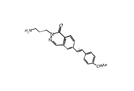 COc1ccc(/C=C/c2ccc3c(=O)n(CCCN)ncc3c2)cc1